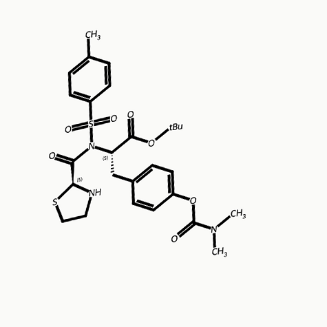 Cc1ccc(S(=O)(=O)N(C(=O)[C@H]2NCCS2)[C@@H](Cc2ccc(OC(=O)N(C)C)cc2)C(=O)OC(C)(C)C)cc1